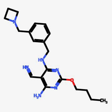 CCCCOc1nc(N)c(C=N)c(NCc2cccc(CN3CCC3)c2)n1